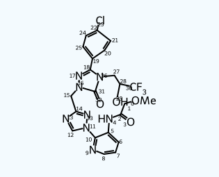 COCC(=O)Nc1cccnc1-n1cnc(Cn2nc(-c3ccc(Cl)cc3)n(CC(O)C(F)(F)F)c2=O)n1